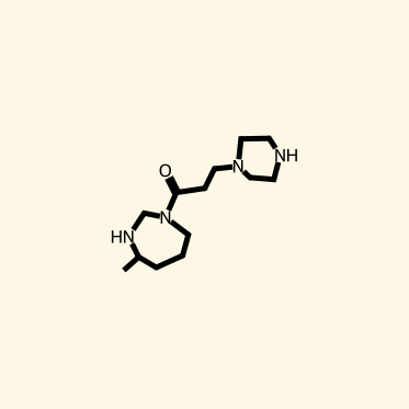 CC1CCCN(C(=O)CCN2CCNCC2)CN1